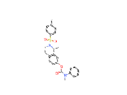 Cc1ccc(S(=O)(=O)N2CCc3ccc(OC(=O)N(C)c4ccccc4)cc3C2C)cc1